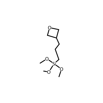 CO[Si](CCCC1COC1)(OC)OC